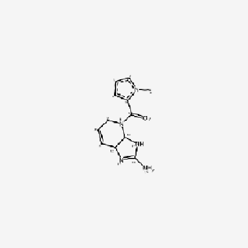 Cn1cccc1C(=O)N1CC=CC2N=C(N)NC21